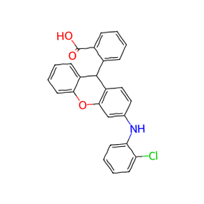 O=C(O)c1ccccc1C1c2ccccc2Oc2cc(Nc3ccccc3Cl)ccc21